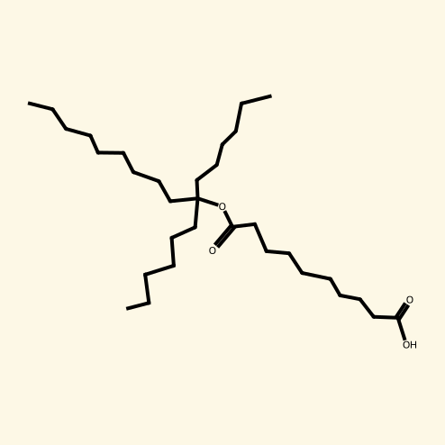 CCCCCCCCCC(CCCCCC)(CCCCCC)OC(=O)CCCCCCCCC(=O)O